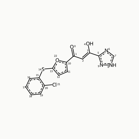 O=C(C=C(O)c1nc[nH]n1)c1ccc(Sc2ccccc2Cl)o1